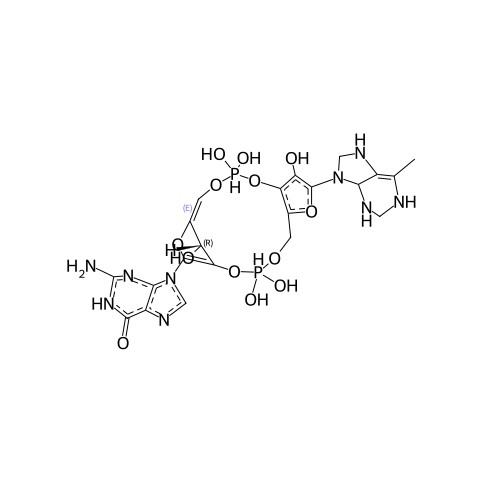 CC1=C2NCN(c3oc4c(c3O)O[PH](O)(O)O/C=C3/OC(n5cnc6c(=O)[nH]c(N)nc65)=C(O[PH](O)(O)OC4)[C@@H]3O)C2NCN1